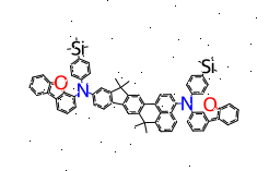 CC1(C)c2cc(N(c3ccc([Si](C)(C)C)cc3)c3cccc4c3oc3ccccc34)ccc2-c2cc3c(cc21)-c1ccc(N(c2ccc([Si](C)(C)C)cc2)c2cccc4c2oc2ccccc24)c2cccc(c12)C3(C)C